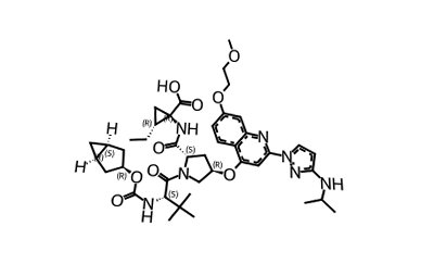 CC[C@@H]1C[C@]1(NC(=O)[C@@H]1C[C@@H](Oc2cc(-n3ccc(NC(C)C)n3)nc3cc(OCCOC)ccc23)CN1C(=O)[C@@H](NC(=O)O[C@@H]1C[C@@H]2C[C@@H]2C1)C(C)(C)C)C(=O)O